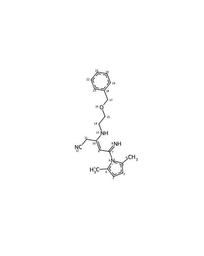 Cc1ccc(C)n1C(=N)/C=C(/CC#N)NCCOCc1ccccc1